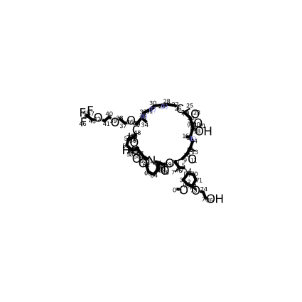 CO[C@@H]1C[C@H](C[C@@H](C)[C@@H]2CC(=O)[C@H](C)/C=C(\C)[C@@H](O)[C@@H](OC)C(=O)[C@H](C)CC/C=C/C=C/C=C(\C)[C@@H](OCCOCCOCC(F)(F)F)C[C@@H]3CC[C@@H](C)[C@@](O)(O3)C(=O)C(=O)N3CCCC[C@H]3C(=O)O2)CC[C@H]1OCCO